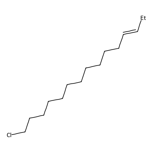 CCC=CCCCCCCCCCCCCl